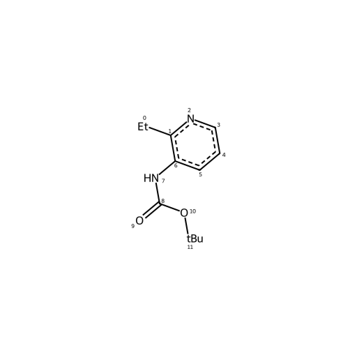 CCc1ncccc1NC(=O)OC(C)(C)C